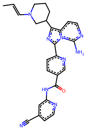 CC=CN1CCCC(c2nc(-c3ccc(C(=O)Nc4cc(C#N)ccn4)cn3)n3c(N)nccc23)C1